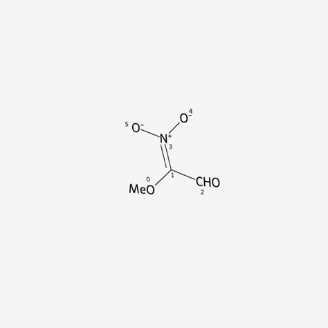 COC(C=O)=[N+]([O-])[O-]